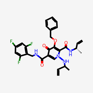 C=CC(C)Nn1cc(C(=O)NCc2c(F)cc(F)cc2F)c(=O)c(OCc2ccccc2)c1C(=O)N[C@@H](C)C=C